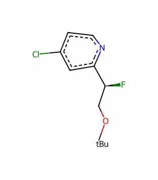 CC(C)(C)OC[C@H](F)c1cc(Cl)ccn1